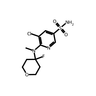 CN(c1ncc(S(N)(=O)=O)cc1Cl)C1(F)CCOCC1